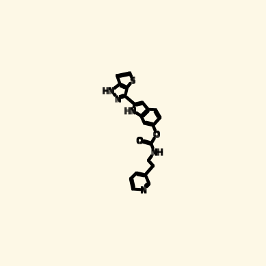 O=C(NCCc1cccnc1)Oc1ccc2cc(-c3n[nH]c4ccsc34)[nH]c2c1